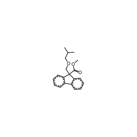 COC(=O)C1(COCC(C)C)c2ccccc2-c2ccccc21